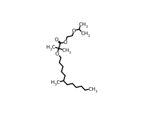 CCCCCCC(C)CCCCCOC(C)(C)C(=O)OCCOC(C)C